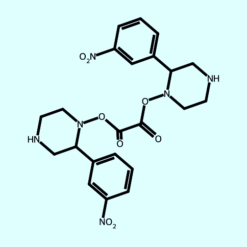 O=C(ON1CCNCC1c1cccc([N+](=O)[O-])c1)C(=O)ON1CCNCC1c1cccc([N+](=O)[O-])c1